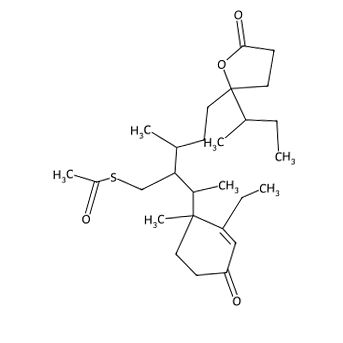 CCC1=CC(=O)CCC1(C)C(C)C(CSC(C)=O)C(C)CCC1(C(C)CC)CCC(=O)O1